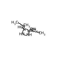 C=C(CCCCCCC)CC(CO)N1CCCN(C(/C=C(/C)CCCCCCC)CO)CCCNCCCNCC1